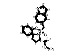 CC(C)OC(=O)[C@@H]1CCCN1P(=O)(Cc1ccc2sccc2c1)Oc1ccccc1